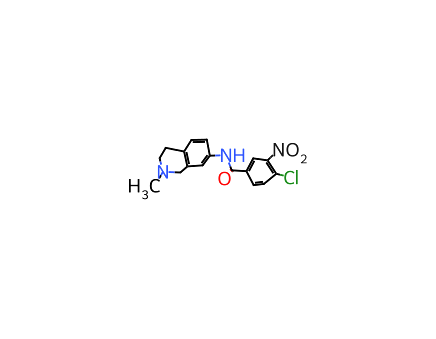 CN1CCc2ccc(NC(=O)c3ccc(Cl)c([N+](=O)[O-])c3)cc2C1